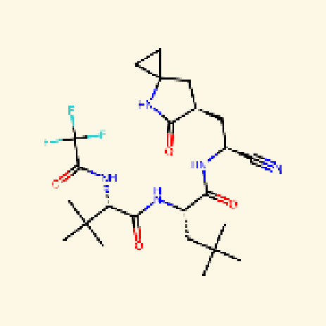 CC(C)(C)C[C@H](NC(=O)[C@@H](NC(=O)C(F)(F)F)C(C)(C)C)C(=O)N[C@H](C#N)C[C@@H]1CC2(CC2)NC1=O